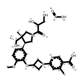 COc1ccc([C@@H]2CN(C(=O)C(O)CO)C[C@@]2(C)[C@@H](C)O)cc1OC1CN(c2cc(C)c(C(=O)O)cn2)C1.O=NO